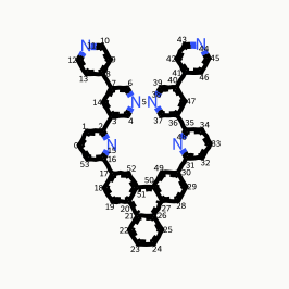 c1cc(-c2cncc(-c3ccncc3)c2)nc(-c2ccc3c4ccccc4c4ccc(-c5cccc(-c6cncc(-c7ccncc7)c6)n5)cc4c3c2)c1